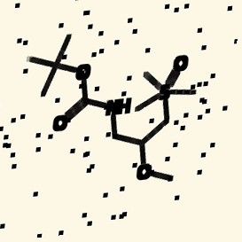 COC(CNC(=O)OC(C)(C)C)CS(C)(C)(C)=O